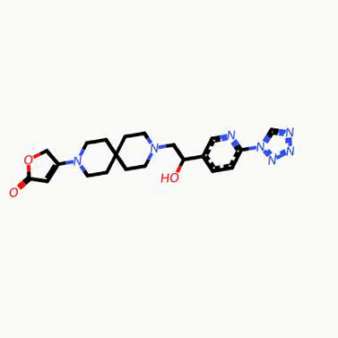 O=C1C=C(N2CCC3(CCN(CC(O)c4ccc(-n5cnnn5)nc4)CC3)CC2)CO1